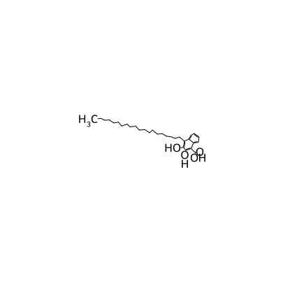 CCCCCCCCCCCCCCCCCCCCc1c(O)c(O)c(C(=O)O)c2ccccc12